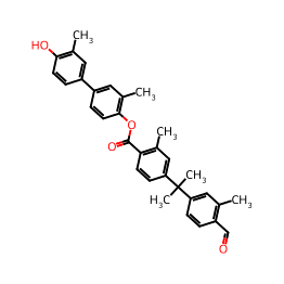 Cc1cc(-c2ccc(OC(=O)c3ccc(C(C)(C)c4ccc(C=O)c(C)c4)cc3C)c(C)c2)ccc1O